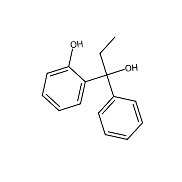 CCC(O)(c1ccccc1)c1ccccc1O